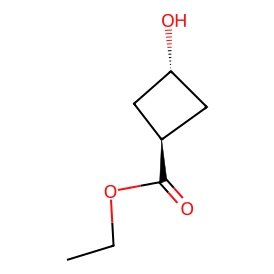 CCOC(=O)[C@H]1C[C@H](O)C1